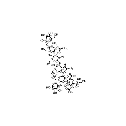 CC(=O)N[C@H]1[C@H](O[C@H]2[C@@H](O)[C@@H](CO)O[C@@H](O[C@H]3[C@@H](O)[C@@H](CO)O[C@@H](O[C@@H]4[C@H](O[C@]5(C(=O)O)C[C@H](O)[C@@H](NC(C)=O)[C@H]([C@H](O)[C@H](O)CO)O5)[C@@H](O)[C@H](O[C@H]5[C@H](O)[C@@H](O)[C@H](O)O[C@@H]5CO)O[C@@H]4CO)[C@@H]3NC(C)=O)[C@@H]2O)O[C@H](CO)[C@@H](O[C@@H]2O[C@H](CO)[C@H](O)[C@H](O)[C@H]2O)[C@@H]1O